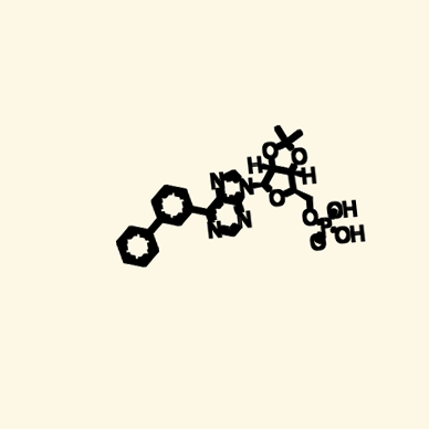 CC1(C)O[C@@H]2[C@H](O1)[C@@H](COP(=O)(O)O)O[C@H]2n1cnc2c(-c3cccc(-c4ccccc4)c3)ncnc21